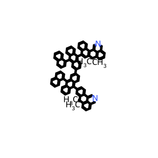 CC1(C)c2cc(-c3c4ccccc4c(-c4cccc5ccccc45)c4cc(-c5ccc6c(-c7cc8c(c9ccccc79)-c7cncc9cccc(c79)C8(C)C)c7ccccc7c(-c7cccc8ccccc78)c6c5)ccc34)ccc2-c2cncc3cccc1c23